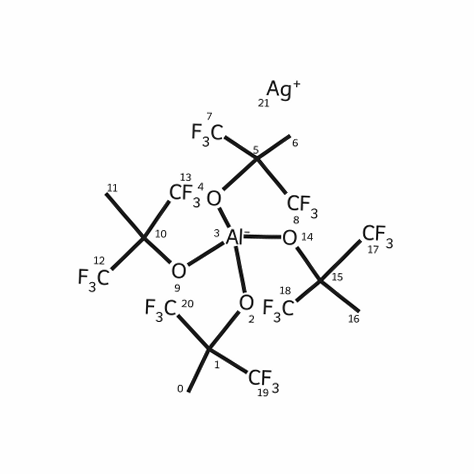 CC([O][Al-]([O]C(C)(C(F)(F)F)C(F)(F)F)([O]C(C)(C(F)(F)F)C(F)(F)F)[O]C(C)(C(F)(F)F)C(F)(F)F)(C(F)(F)F)C(F)(F)F.[Ag+]